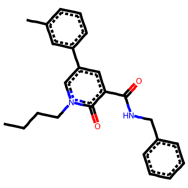 CCCCn1cc(-c2cccc(C)c2)cc(C(=O)NCc2ccccc2)c1=O